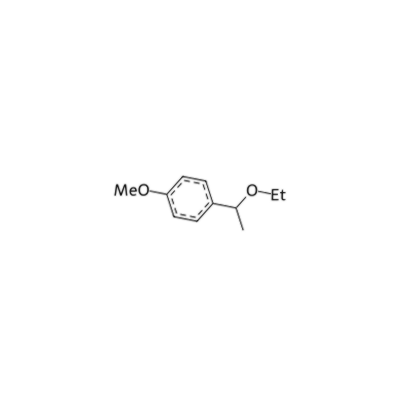 CCOC(C)c1ccc(OC)cc1